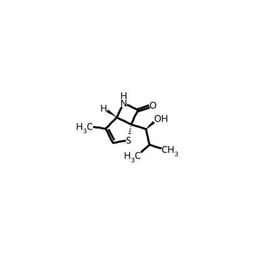 CC1=CS[C@@]2([C@@H](O)C(C)C)C(=O)N[C@@H]12